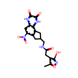 Cc1onc(O)c1CC(=O)NCC1Cc2c([N+](=O)[O-])cc3[nH]c(=O)c(=O)[nH]c3c2C1